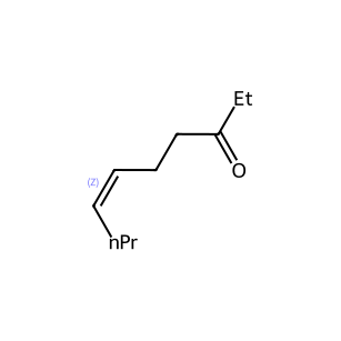 CCC/C=C\CCC(=O)CC